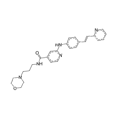 O=C(NCCCN1CCOCC1)c1ccnc(Nc2ccc(/C=C/c3ccccn3)cc2)c1